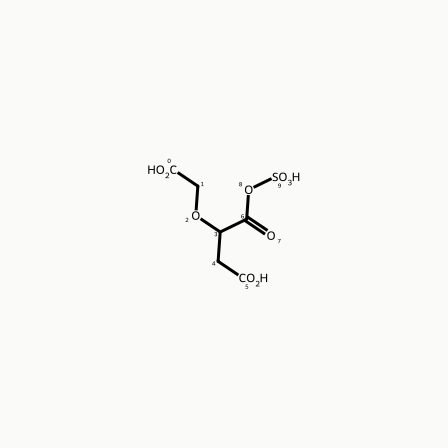 O=C(O)COC(CC(=O)O)C(=O)OS(=O)(=O)O